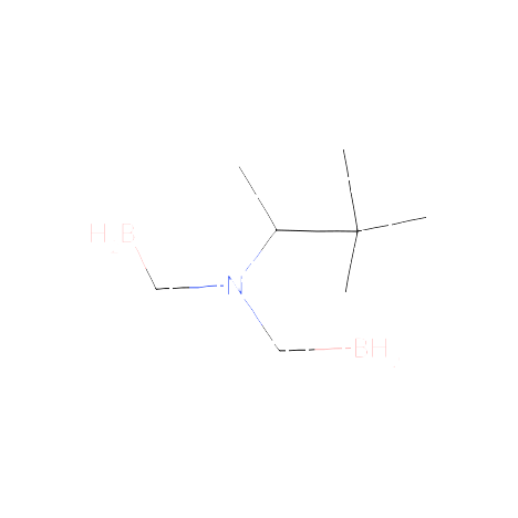 BCN(CB)C(C)C(C)(C)C